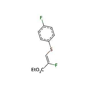 CCOC(=O)C(F)=CSc1ccc(F)cc1